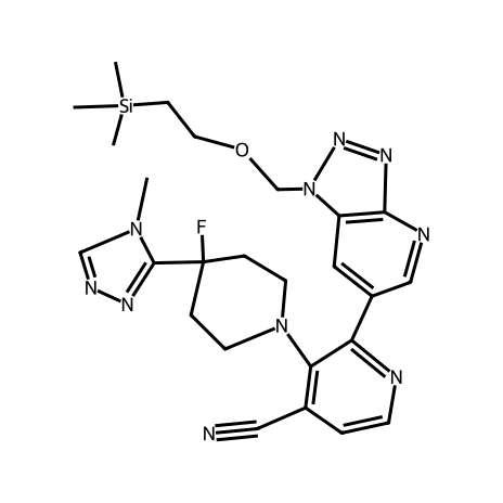 Cn1cnnc1C1(F)CCN(c2c(C#N)ccnc2-c2cnc3nnn(COCC[Si](C)(C)C)c3c2)CC1